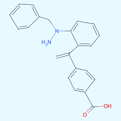 C=C(c1ccc(C(=O)O)cc1)c1ccccc1N(N)Cc1ccccc1